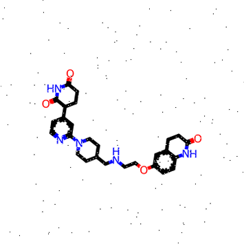 O=C1CCC(c2ccnc(N3CCC(CNCCOc4ccc5c(c4)CCC(=O)N5)CC3)c2)C(=O)N1